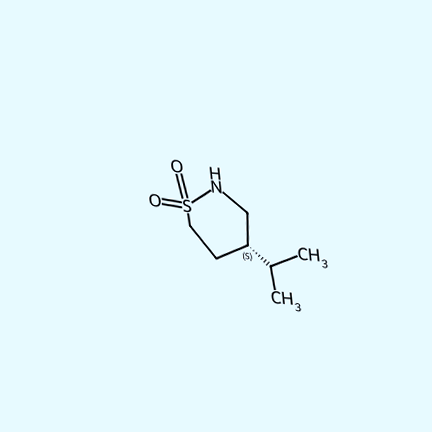 CC(C)[C@@H]1CCS(=O)(=O)NC1